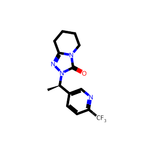 C[C@H](c1ccc(C(F)(F)F)nc1)n1nc2n(c1=O)CCCC2